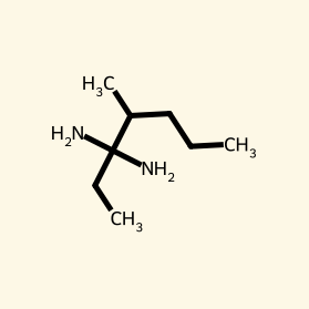 CCCC(C)C(N)(N)CC